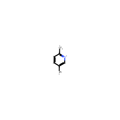 CC(C)c1ccc(C(F)(F)F)nc1